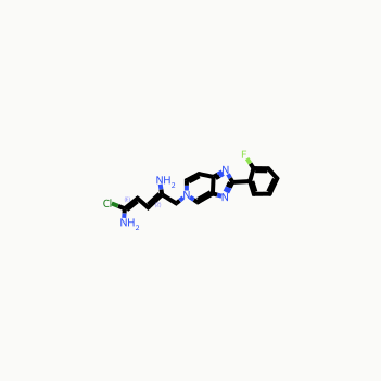 N/C(=C\C=C(/N)Cl)Cn1ccc2nc(-c3ccccc3F)nc-2c1